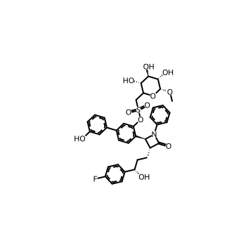 CO[C@@H]1OC(CS(=O)(=O)Oc2cc(-c3cccc(O)c3)ccc2[C@@H]2[C@@H](CC[C@H](O)c3ccc(F)cc3)C(=O)N2c2ccccc2)[C@H](O)[C@@H](O)[C@@H]1O